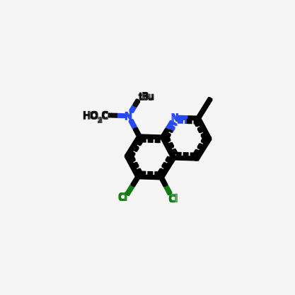 Cc1ccc2c(Cl)c(Cl)cc(N(C(=O)O)C(C)(C)C)c2n1